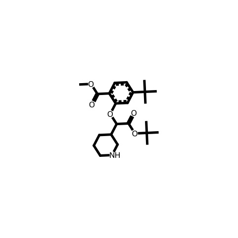 COC(=O)c1ccc(C(C)(C)C)cc1OC(C(=O)OC(C)(C)C)C1CCCNC1